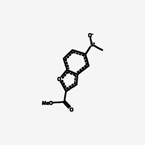 COC(=O)c1cc2cc([S+](C)[O-])ccc2o1